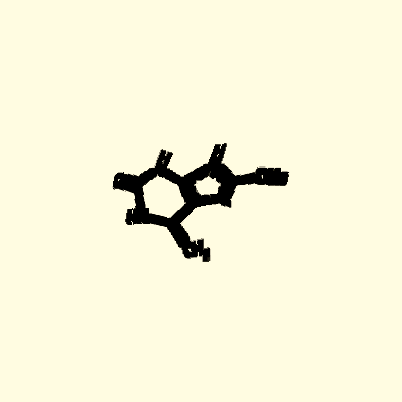 C=C1NC(=O)Nc2[nH]c(OC)nc21